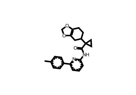 Cc1ccc(-c2cccc(NC(=O)C3(C4CCC5=C(C4)OCO5)CC3)n2)cc1